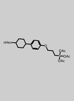 CCCCCCC1CCC(c2ccc(OCCC[Si](OC(C)=O)(OC(C)=O)OC(C)=O)cc2)CC1